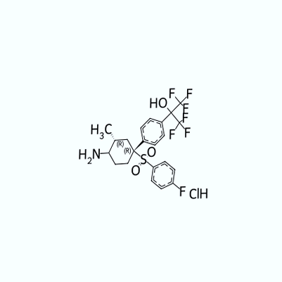 C[C@@H]1C[C@](c2ccc(C(O)(C(F)(F)F)C(F)(F)F)cc2)(S(=O)(=O)c2ccc(F)cc2)CCC1N.Cl